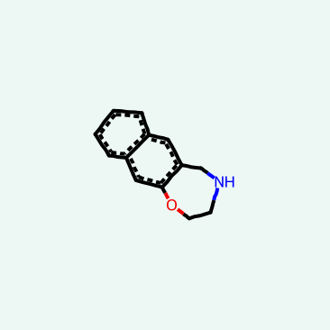 c1ccc2cc3c(cc2c1)CNCCO3